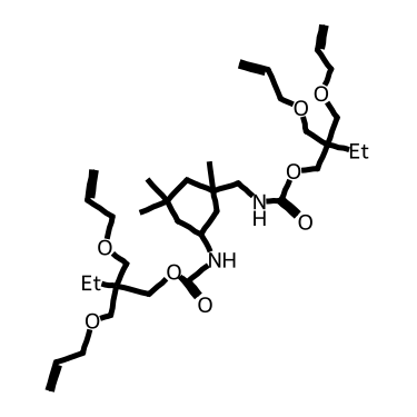 C=CCOCC(CC)(COCC=C)COC(=O)NCC1(C)CC(NC(=O)OCC(CC)(COCC=C)COCC=C)CC(C)(C)C1